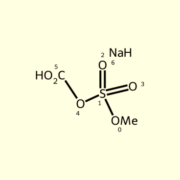 COS(=O)(=O)OC(=O)O.[NaH]